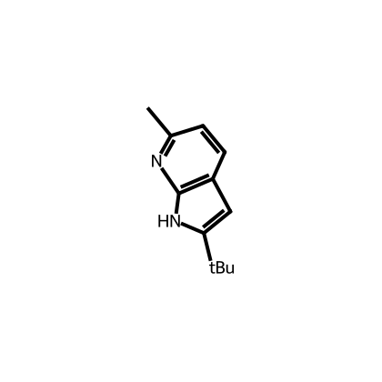 Cc1ccc2cc(C(C)(C)C)[nH]c2n1